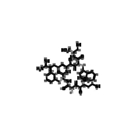 C[C@@H](NC(=O)[C@H](N)CCS)C(=O)N[C@H](Cc1ccccc1)C(=O)N[C@@H](CCCNC(=N)N)C(=O)N[C@@H](Cc1c[nH]c2ccccc12)C(=O)N[C@@H](CS)C(=O)O